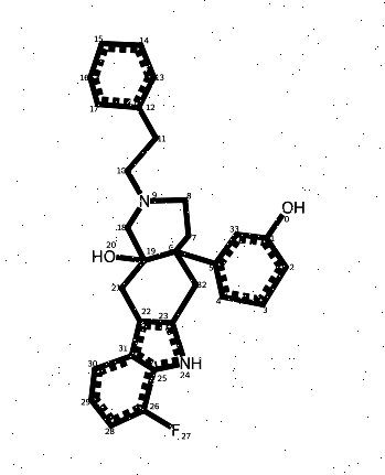 Oc1cccc(C23CCN(CCc4ccccc4)CC2(O)Cc2c([nH]c4c(F)cccc24)C3)c1